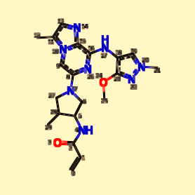 C=CC(=O)NC1CN(c2cn3c(C)cnc3c(Nc3cn(C)nc3OC)n2)CC1C